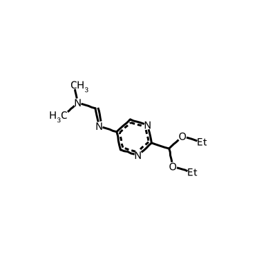 CCOC(OCC)c1ncc(N=CN(C)C)cn1